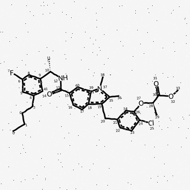 CCCCc1cc(F)cc([C@H](C)NC(=O)c2ccc3c(Cc4ccc(Cl)c(O[C@H](C)C(=O)OC)c4)c(C)n(C)c3c2)c1